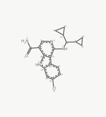 NC(=O)c1cnc(NC(C2CC2)C2CC2)c2c1[nH]c1cc(Cl)ccc12